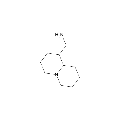 NCC1CCCN2CCCCC12